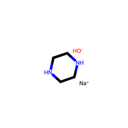 C1CNCCN1.[Na+].[OH-]